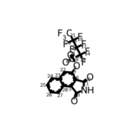 O=C1NC(=O)c2c1c(OS(=O)(=O)C(F)(F)C(F)(F)C(F)(F)C(F)(F)F)cc1ccccc21